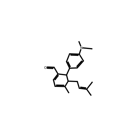 CC(C)=CCC1C(C)=CC=C(C=O)C1c1ccc(N(C)C)cc1